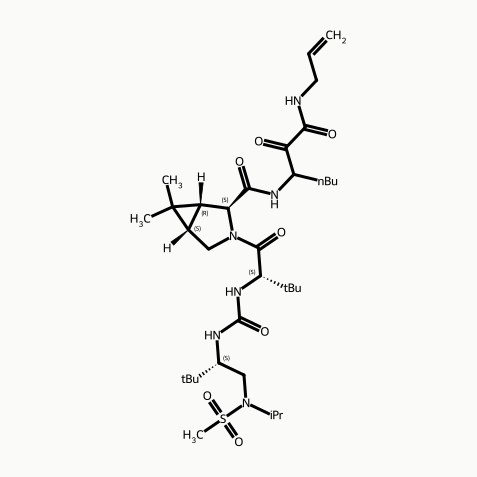 C=CCNC(=O)C(=O)C(CCCC)NC(=O)[C@@H]1[C@@H]2[C@H](CN1C(=O)[C@@H](NC(=O)N[C@H](CN(C(C)C)S(C)(=O)=O)C(C)(C)C)C(C)(C)C)C2(C)C